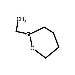 CC[Si]1CCCCO1